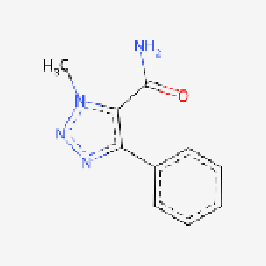 Cn1nnc(-c2ccccc2)c1C(N)=O